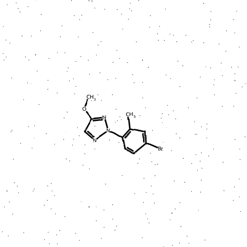 COc1cnn(-c2ccc(Br)cc2C)n1